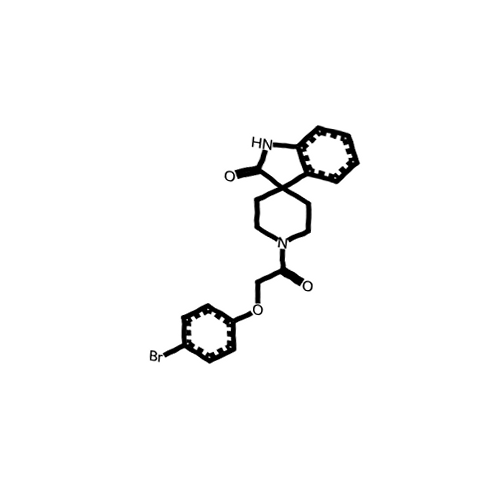 O=C(COc1ccc(Br)cc1)N1CCC2(CC1)C(=O)Nc1ccccc12